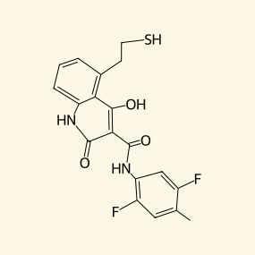 Cc1cc(F)c(NC(=O)c2c(O)c3c(CCS)cccc3[nH]c2=O)cc1F